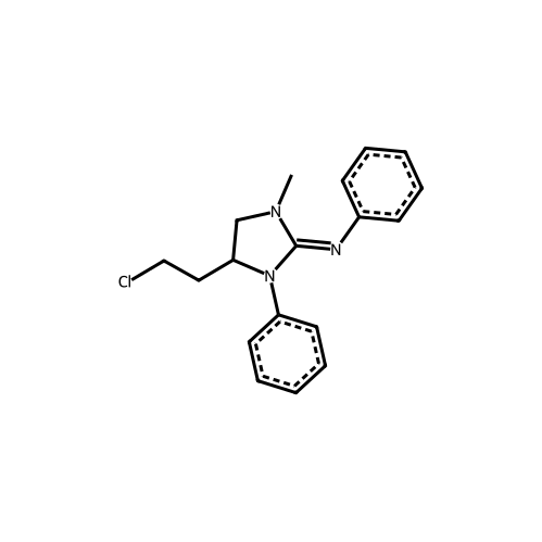 CN1CC(CCCl)N(c2ccccc2)C1=Nc1ccccc1